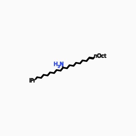 CCCCCCCC/C=C/CCCCCCCC(N)CCCCCCCCC(C)C